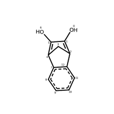 OC1=C2CC(=C1O)c1ccccc12